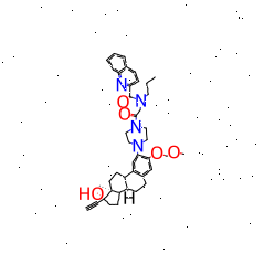 C#C[C@]1(O)CCC2[C@@H]3CCc4cc(OCOC)c(N5CCN(C(=O)CN(CCC)C(=O)c6ccc7ccccc7n6)CC5)cc4C3CC[C@@]21C